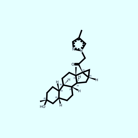 Cc1cnn(CC(=O)[C@@]23C[C@@H]2C[C@H]2[C@@H]4CC[C@@H]5C[C@](C)(O)CC[C@@H]5[C@H]4CC[C@@]23C)c1